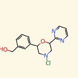 OCc1cccc(C2CN(Cl)CC(c3ncccn3)O2)c1